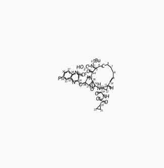 CC(C)(C)N(C(=O)O)[C@H]1CCCCCC=C[C@@H]2C[C@@]2(C(=O)NS(=O)(=O)C2CC2)NC(=O)[C@@H]2C[C@@H](Oc3nc4cc(F)ccc4nc3C(F)(F)F)CN2C1=O